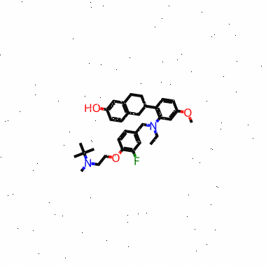 CCN(Cc1ccc(OCCN(C)C(C)(C)C)c(F)c1)c1cc(OC)ccc1C1CCc2cc(O)ccc2C1